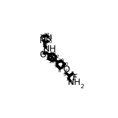 NCC(=CF)COc1ccc(C23CCC(C(=O)NCc4cnccn4)(CC2)CC3)cc1